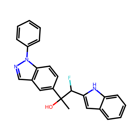 CC(O)(c1ccc2c(cnn2-c2ccccc2)c1)C(F)c1cc2ccccc2[nH]1